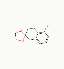 Brc1cccc2c1CCC1(C2)OCCO1